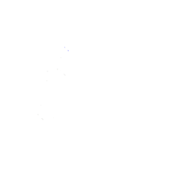 CCCCCCCc1ccccc1-c1ccc(C#N)cc1